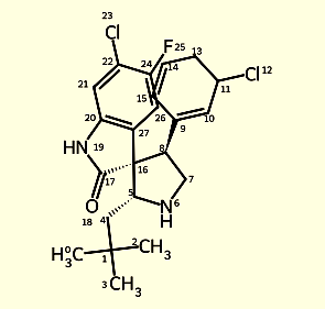 CC(C)(C)C[C@H]1NC[C@H](C2=CC(Cl)CC=C2)[C@@]12C(=O)Nc1cc(Cl)c(F)cc12